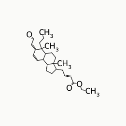 CCCC1(C)/C(=C\C=O)C=CC2C1CCC1(C)C(C/C=C/C(=O)OCC)CCC21